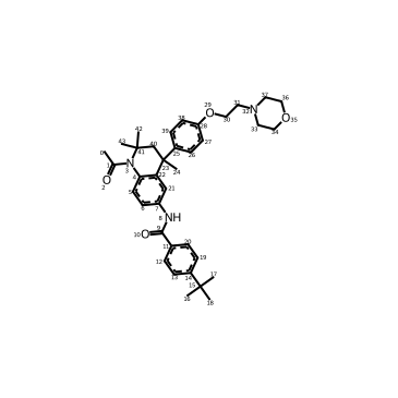 CC(=O)N1c2ccc(NC(=O)c3ccc(C(C)(C)C)cc3)cc2C(C)(c2ccc(OCCN3CCOCC3)cc2)CC1(C)C